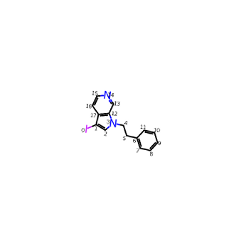 Ic1cn(CCc2ccccc2)c2cnccc12